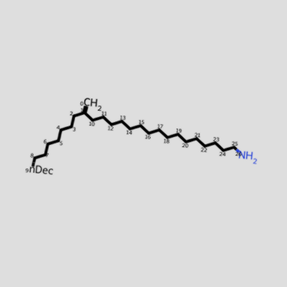 C=C(CCCCCCCCCCCCCCCCC)CCCCCCCCCCCCCCCCN